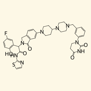 O=C1CCN(c2cccc(CN3CCN(C4CCN(c5ccc6c(c5)C(=O)N(C(C(=O)Nc5nccs5)c5cc(F)ccc5O)C6)CC4)CC3)c2)C(=O)N1